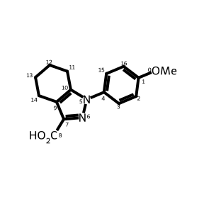 COc1ccc(-n2nc(C(=O)O)c3c2CCCC3)cc1